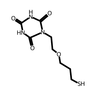 O=c1[nH]c(=O)n(CCOCCCS)c(=O)[nH]1